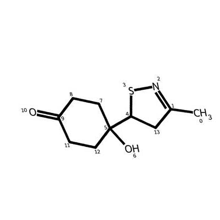 CC1=NSC(C2(O)CCC(=O)CC2)C1